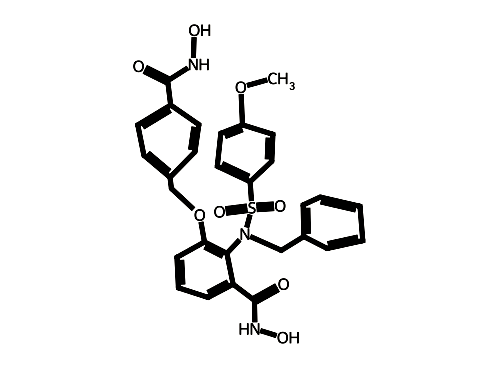 COc1ccc(S(=O)(=O)N(Cc2ccccc2)c2c(OCc3ccc(C(=O)NO)cc3)cccc2C(=O)NO)cc1